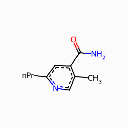 CCCc1cc(C(N)=O)c(C)cn1